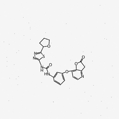 O=C(Nc1cccc(Oc2ccnc3c2OC(=O)C3)c1)Nc1nnc(C2CCCO2)s1